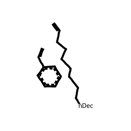 C=CCCCCCCCCCCCCCCCCC.C=Cc1ccccc1